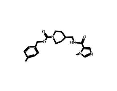 Cc1ccc(COC(=O)N2CCC(CNC(=O)c3cncn3C)CC2)cc1